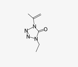 C=C(C)n1nnn(CC)c1=O